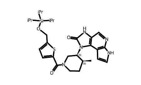 CC(C)[Si](OCc1ccc(C(=O)N2CC[C@H](C)[C@H](n3c(=O)[nH]c4cnc5[nH]ccc5c43)C2)s1)(C(C)C)C(C)C